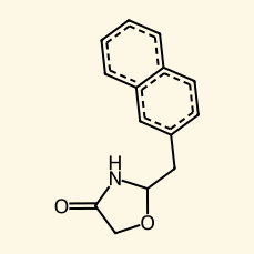 O=C1COC(Cc2ccc3ccccc3c2)N1